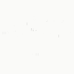 Cc1c(CC(=O)O)c2cc(O)ccc2n1C(=O)c1ccc(C(F)(F)F)cc1